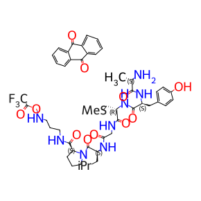 CSC[C@H](NC(=O)[C@H](Cc1ccc(O)cc1)NC(=O)[C@H](C)N)C(=O)NCC(=O)N[C@@H](CC(C)C)C(=O)N1CCC[C@H]1C(=O)NCCCNOC(=O)C(F)(F)F.O=C1c2ccccc2C(=O)c2ccccc21